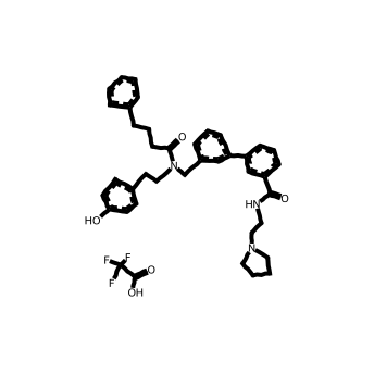 O=C(NCCN1CCCC1)c1cccc(-c2cccc(CN(CCc3ccc(O)cc3)C(=O)CCCc3ccccc3)c2)c1.O=C(O)C(F)(F)F